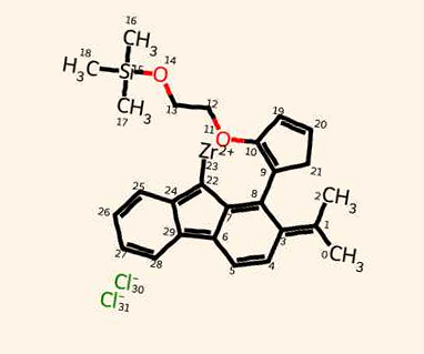 CC(C)=c1ccc2c(c1C1=C(OCCO[Si](C)(C)C)C=CC1)[C]([Zr+2])=c1ccccc1=2.[Cl-].[Cl-]